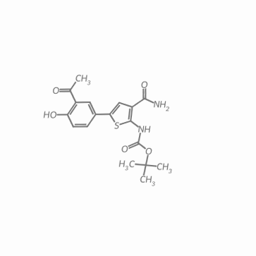 CC(=O)c1cc(-c2cc(C(N)=O)c(NC(=O)OC(C)(C)C)s2)ccc1O